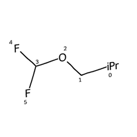 CC(C)COC(F)F